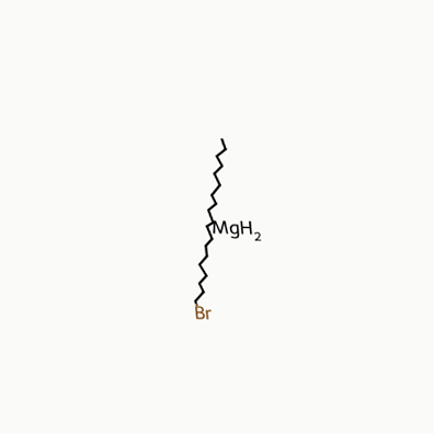 CCCCCCCCCCCCCCCCCCCBr.[MgH2]